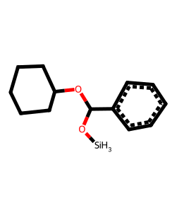 [SiH3]OC(OC1CCCCC1)c1ccccc1